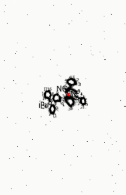 CCC(C)[B-](c1ccccc1)(c1ccccc1)c1ccccc1.N#CC(C#N)=C(C[S+](c1ccccc1)c1ccccc1)c1ccccc1